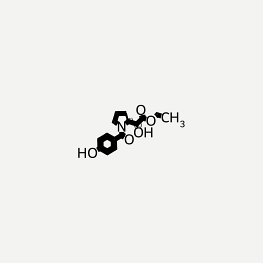 CCOC(=O)[C@H](O)[C@@H]1CCCN1C(=O)c1ccc(O)cc1